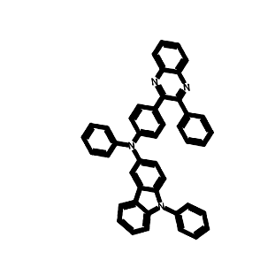 c1ccc(-c2nc3ccccc3nc2-c2ccc(N(c3ccccc3)c3ccc4c(c3)c3ccccc3n4-c3ccccc3)cc2)cc1